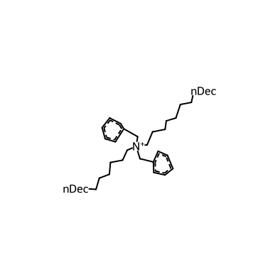 CCCCCCCCCCCCCCCCC[N+](CCCCCCCCCCCCCCCC)(Cc1ccccc1)Cc1ccccc1